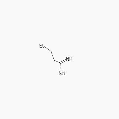 CCCCC([NH])=N